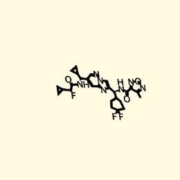 Cc1nonc1C(=O)N[C@H](c1cn2ncc([C@H](NC(=O)[C@H](F)C3CC3)C3CC3)cc2n1)C1CCC(F)(F)CC1